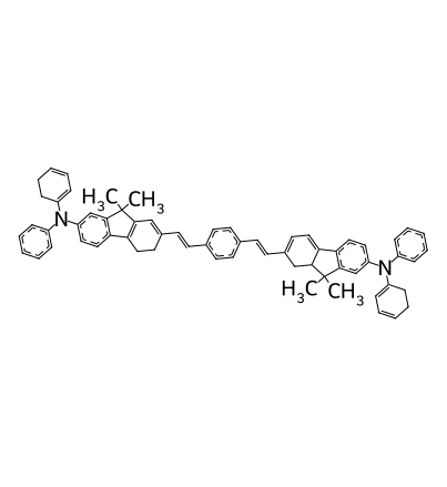 CC1(C)C2=C(CCC(/C=C/c3ccc(/C=C/C4=CC=C5c6ccc(N(C7=CC=CCC7)c7ccccc7)cc6C(C)(C)C5C4)cc3)=C2)c2ccc(N(C3=CC=CCC3)c3ccccc3)cc21